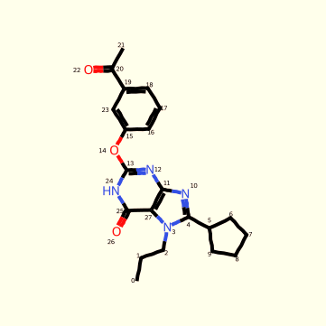 CCCn1c(C2CCCC2)nc2nc(Oc3cccc(C(C)=O)c3)[nH]c(=O)c21